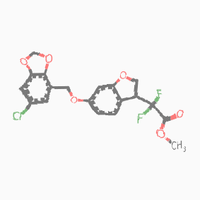 COC(=O)C(F)(F)C1COc2cc(OCc3cc(Cl)cc4c3OCO4)ccc21